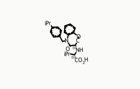 CC(C)c1ccc(CN2C(=O)[C@@H](N[C@H](C(=O)O)C(C)C)COc3ccccc32)cc1